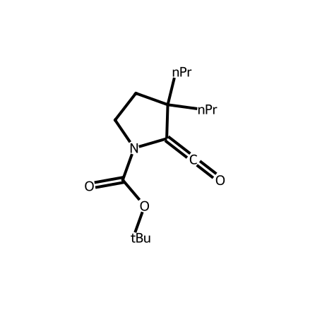 CCCC1(CCC)CCN(C(=O)OC(C)(C)C)C1=C=O